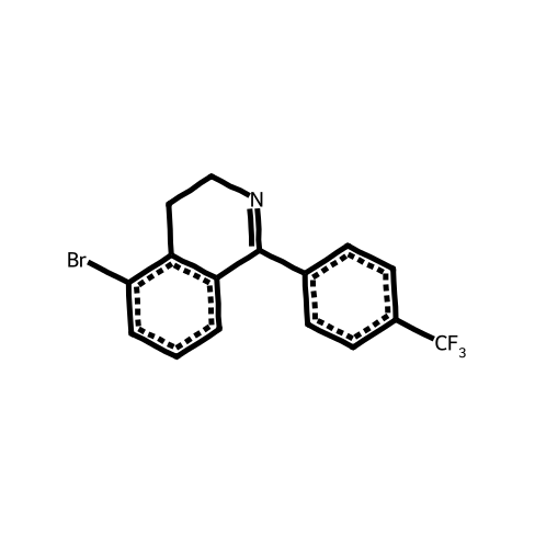 FC(F)(F)c1ccc(C2=NCCc3c(Br)cccc32)cc1